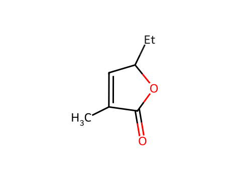 CCC1C=C(C)C(=O)O1